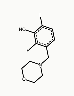 N#Cc1c(I)ccc(CN2CCOCC2)c1F